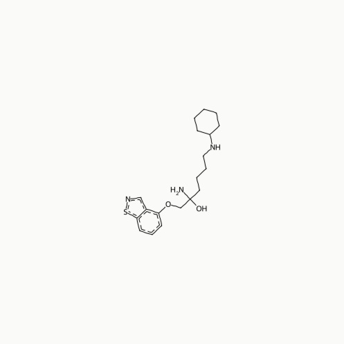 NC(O)(CCCCNC1CCCCC1)COc1cccc2sncc12